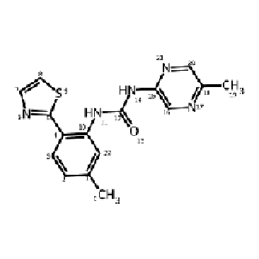 Cc1ccc(-c2nccs2)c(NC(=O)Nc2cnc(C)cn2)c1